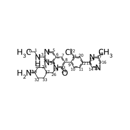 CCNc1ncc2cc(-c3ccc(-c4cncc(C)n4)cc3Cl)c(=O)n(CC3CCC(N)CC3)c2n1